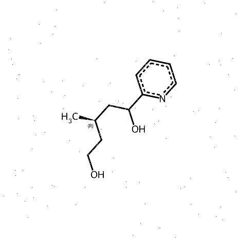 C[C@H](CCO)CC(O)c1ccccn1